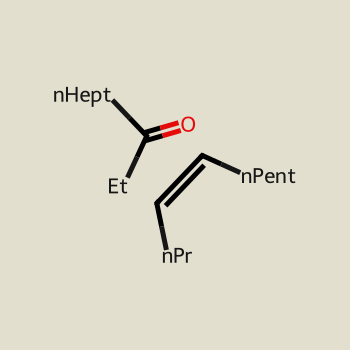 CCC/C=C\CCCCC.CCCCCCCC(=O)CC